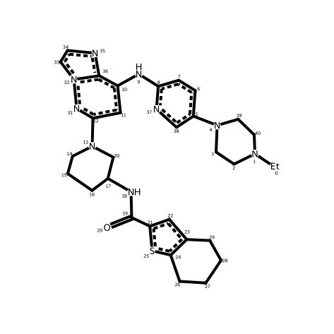 CCN1CCN(c2ccc(Nc3cc(N4CCCC(NC(=O)c5cc6c(s5)CCCC6)C4)nn4ccnc34)nc2)CC1